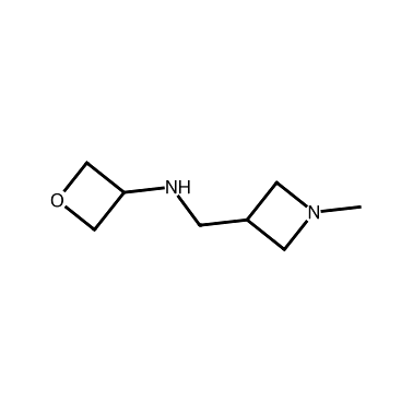 CN1CC(CNC2COC2)C1